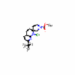 [2H]C([2H])([2H])c1ccc2c(n1)N(Br)C1(CC2)CCN(C(=O)OC(C)(C)C)C1